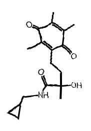 CC1=C(C)C(=O)C(CCC(C)(O)C(=O)NCC2CC2)=C(C)C1=O